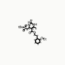 CCOc1ccccc1CCOC(=O)C1=C(C)NC(=S)NC1CS(=O)(=O)C(C)(C)C